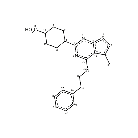 Cc1csc2nc(C3CCC(C(=O)O)CC3)nc(NCCc3ccccc3)c12